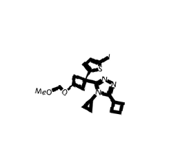 COCO[C@H]1C[C@](c2ccc(I)s2)(c2nnc(C3CCC3)n2C2CC2)C1